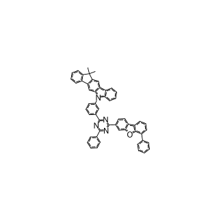 CC1(C)c2ccccc2-c2cc3c(cc21)c1ccccc1n3-c1cccc(-c2nc(-c3ccccc3)nc(-c3ccc4c(c3)oc3c(-c5ccccc5)cccc34)n2)c1